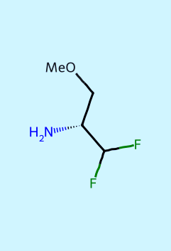 COC[C@@H](N)C(F)F